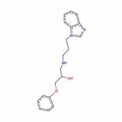 OC(CNCCCn1cnc2ccccc21)COc1ccccc1